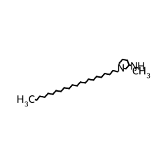 CCCCCCCCCCCCCCCCCCCCCCN1CCCC(NC)C1